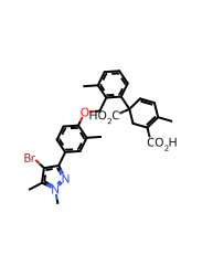 CC1=C(C(=O)O)CC(C(=O)O)(c2cccc(C)c2COc2ccc(-c3nn(C)c(C)c3Br)cc2C)C=C1